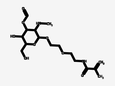 C=C(C)C(=O)NCCOCCOC1OC(CO)C(O)C(OC=O)C1NC